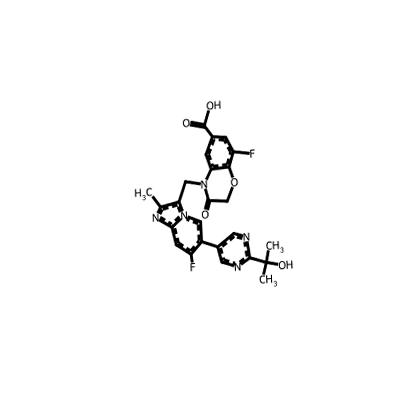 Cc1nc2cc(F)c(-c3cnc(C(C)(C)O)nc3)cn2c1CN1C(=O)COc2c(F)cc(C(=O)O)cc21